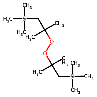 CC(C)(C[Si](C)(C)C)OOC(C)(C)C[Si](C)(C)C